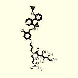 CS(=O)(=O)CCCN(CCCSc1ccc(Cl)c(CNC2(c3cnccc3-c3ccccc3OC3CC3)CC2)c1)C(=O)[C@@H](O)[C@@H](O)[C@H](O)[C@@H](O)CO